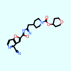 N#Cc1nccc2oc(-c3nc(CC4CCN(C(=O)OC5CCOCC5)CC4)no3)cc12